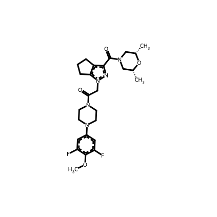 COc1c(F)cc(N2CCN(C(=O)Cn3nc(C(=O)N4C[C@@H](C)O[C@@H](C)C4)c4c3CCC4)CC2)cc1F